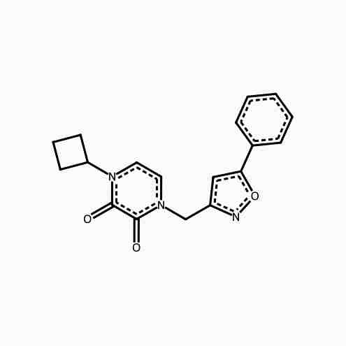 O=c1c(=O)n(C2CCC2)ccn1Cc1cc(-c2ccccc2)on1